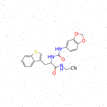 N#CCNC(=O)C(Cc1csc2ccccc12)NC(=O)Nc1ccc2c(c1)OCO2